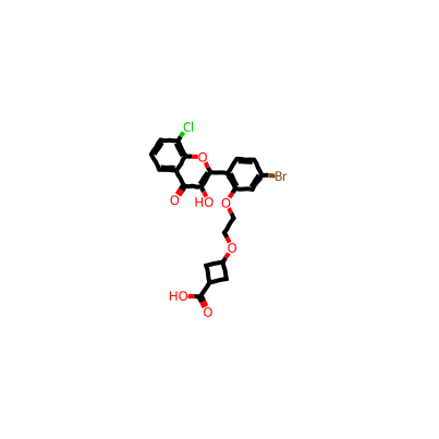 O=C(O)C1CC(OCCOc2cc(Br)ccc2-c2oc3c(Cl)cccc3c(=O)c2O)C1